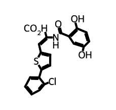 O=C(O)C(=Cc1ccc(-c2ccccc2Cl)s1)NC(=O)c1cc(O)ccc1O